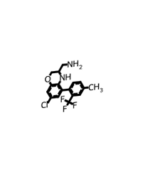 Cc1ccc(-c2cc(Cl)cc3c2NC(CN)CO3)c(C(F)(F)F)c1